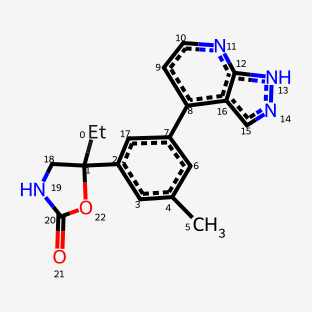 CCC1(c2cc(C)cc(-c3ccnc4[nH]ncc34)c2)CNC(=O)O1